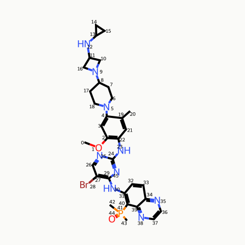 COc1cc(N2CCC(N3CC(NC4CC4)C3)CC2)c(C)cc1Nc1ncc(Br)c(Nc2ccc3nccnc3c2P(C)(C)=O)n1